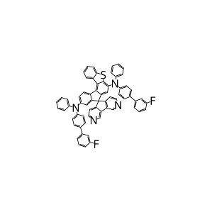 Fc1cccc(-c2ccc(N(c3ccccc3)c3ccc4c(c3)C3(c5ccncc5-c5cnccc53)c3cc(N(c5ccccc5)c5ccc(-c6cccc(F)c6)cc5)c5sc6ccccc6c5c3-4)cc2)c1